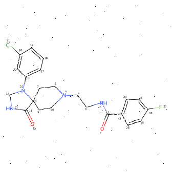 O=C(NCCN1CCC2(CC1)C(=O)NCN2c1cccc(Cl)c1)c1ccc(F)cc1